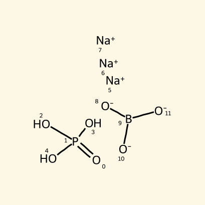 O=P(O)(O)O.[Na+].[Na+].[Na+].[O-]B([O-])[O-]